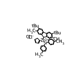 Cc1ccc([Si](c2ccc(C)cc2)=[Zr+2]([C]2=CC=CC2)[CH]2c3cc(C)c(C(C)(C)C)cc3-c3cc(C(C)(C)C)c(C)cc32)cc1.[Cl-].[Cl-]